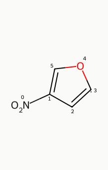 O=[N+]([O-])c1c[c]oc1